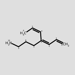 C=C/C=C(\C=C/C)CCCN